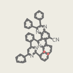 N#Cc1cc2nc(-c3ccccc3)c(-c3ccccc3)nc2c2c(-c3ccccc3-c3cc(-c4ccccc4)nc(-c4ccccc4)n3)nc3ccccc3c12